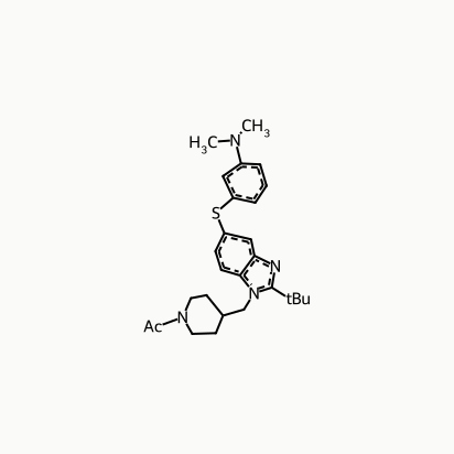 CC(=O)N1CCC(Cn2c(C(C)(C)C)nc3cc(Sc4cccc(N(C)C)c4)ccc32)CC1